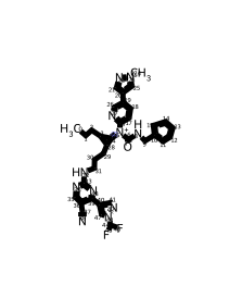 CCCC1/C(=[N+](/C(=O)NCc2ccccc2)c2ccc(-c3cnn(C)c3)cn2)C1CCCNc1ncc(C#N)c(-c2cnn(C(F)F)c2)n1